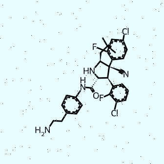 CC(C)(C)C[C@@H]1N[C@@H](C(=O)Nc2ccc(CCN)cc2)[C@H](c2cccc(Cl)c2F)[C@@]1(C#N)c1ccc(Cl)cc1F